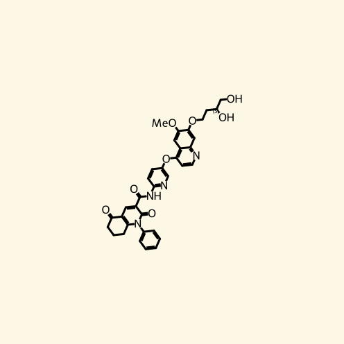 COc1cc2c(Oc3ccc(NC(=O)c4cc5c(n(-c6ccccc6)c4=O)CCCC5=O)nc3)ccnc2cc1OCC[C@H](O)CO